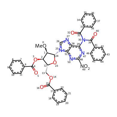 CO[C@@H]1[C@H](OC(=O)c2ccccc2)[C@@H](COC(=O)c2ccccc2)O[C@H]1n1cnc2c(N(C(=O)c3ccccc3)C(=O)c3ccccc3)nc([N+](=O)[O-])nc21